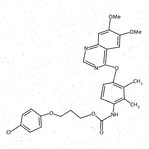 COc1cc2ncnc(Oc3ccc(NC(=O)OCCCOc4ccc(Cl)cc4)c(C)c3C)c2cc1OC